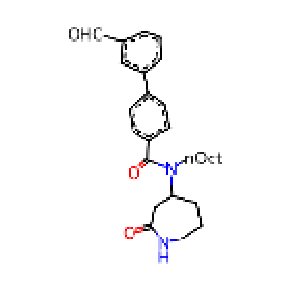 CCCCCCCCN(C(=O)c1ccc(-c2cccc(C=O)c2)cc1)C1CCCNC(=O)C1